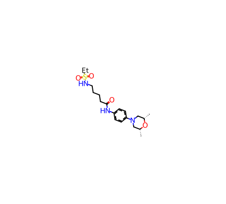 CCS(=O)(=O)NCCCCC(=O)Nc1ccc(N2C[C@@H](C)O[C@@H](C)C2)cc1